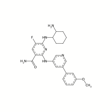 COc1cccc(-c2cncc(Nc3nc(NC4CCCCC4N)c(F)cc3C(N)=O)c2)c1